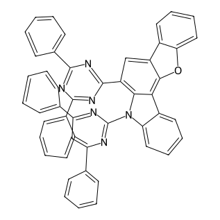 c1ccc(-c2cc(-c3ccccc3)nc(-n3c4ccccc4c4c5oc6ccccc6c5cc(-c5nc(-c6ccccc6)nc(-c6ccccc6)n5)c43)n2)cc1